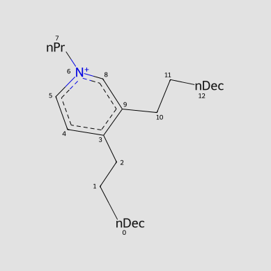 CCCCCCCCCCCCc1cc[n+](CCC)cc1CCCCCCCCCCCC